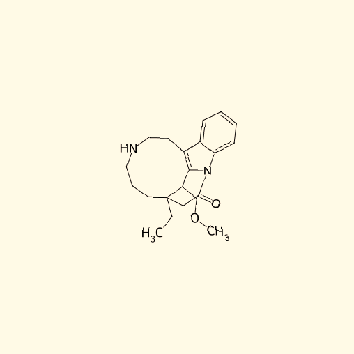 CCC12CCCNCCc3c(n(c4ccccc34)C(=O)C1)C2COC